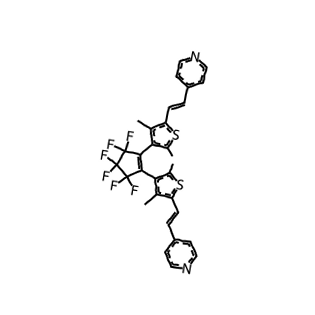 Cc1sc(C=Cc2ccncc2)c(C)c1C1=C(c2c(C)sc(C=Cc3ccncc3)c2C)C(F)(F)C(F)(F)C1(F)F